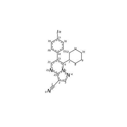 N#Cc1cnn2c(C3CCCCC3)c(-c3ccc(I)cc3)cnc12